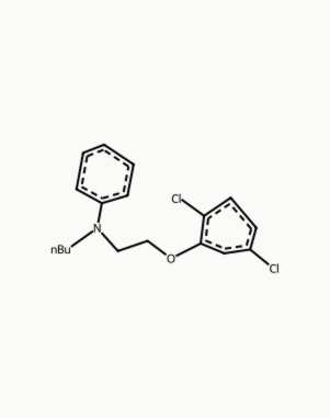 CCCCN(CCOc1cc(Cl)ccc1Cl)c1ccccc1